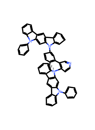 FC(F)(F)c1ccc(-n2c3ccccc3c3cc4c5ccccc5n(-c5ccccc5)c4cc32)cc1-c1cnccc1-n1c2ccccc2c2cc3c4ccccc4n(-c4ccccc4)c3cc21